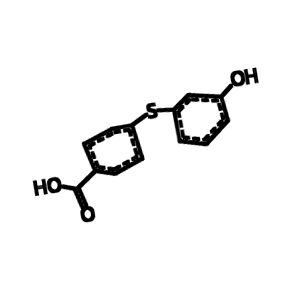 O=C(O)c1ccc(Sc2cccc(O)c2)cc1